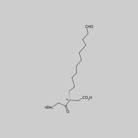 CCCCCCCCCCCC(=O)[C@H](CCCCCCCCCCC=O)CC(=O)O